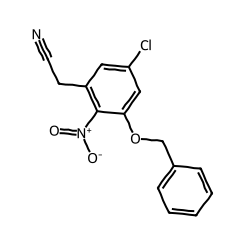 N#CCc1cc(Cl)cc(OCc2ccccc2)c1[N+](=O)[O-]